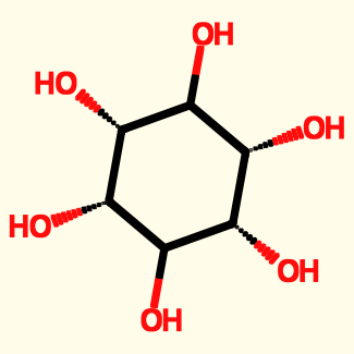 OC1[C@H](O)[C@H](O)C(O)[C@H](O)[C@@H]1O